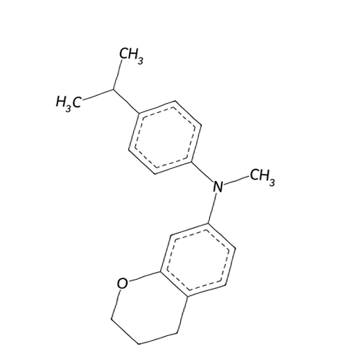 CC(C)c1ccc(N(C)c2ccc3c(c2)OCCC3)cc1